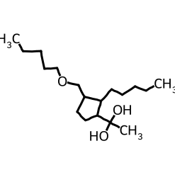 CCCCCOCC1CCC(C(C)(O)O)C1CCCCC